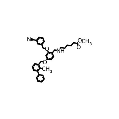 COC(=O)CCCCCNCc1ccc(OCc2cccc(-c3ccccc3)c2C)cc1OCc1cccc(C#N)c1